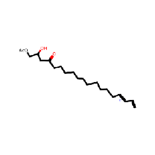 C=C/C=C/CCCCCCCCCCCC(=O)CC(O)COC(C)=O